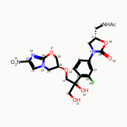 CC(=O)NC[C@H]1CN(c2ccc(C(O)(CO)CO[C@@H]3COc4nc([N+](=O)[O-])cn4C3)c(F)c2)C(=O)O1